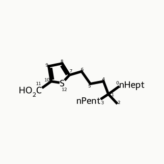 CCCCCCCC(C)(CCCCC)CCCc1ccc(C(=O)O)s1